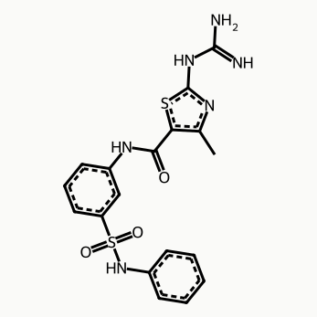 Cc1nc(NC(=N)N)sc1C(=O)Nc1cccc(S(=O)(=O)Nc2ccccc2)c1